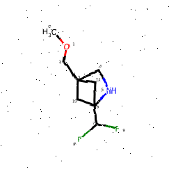 COCC12CNC(C(F)F)(C1)C2